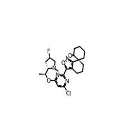 C[C@H](Oc1cc(Cl)nc(-c2onc3c2CCC[C@@]32CCCCC2=O)n1)[C@@H]1C[C@@H](F)CN1C